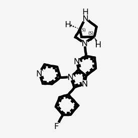 Fc1ccc(-c2nc3ccc(N4C[C@@H]5C[C@H]4CN5)nc3n2-c2ccncc2)cc1